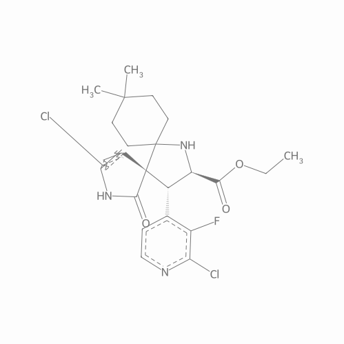 CCOC(=O)[C@@H]1NC2(CCC(C)(C)CC2)[C@@]2(C(=O)Nc3cc(Cl)ccc32)[C@H]1c1ccnc(Cl)c1F